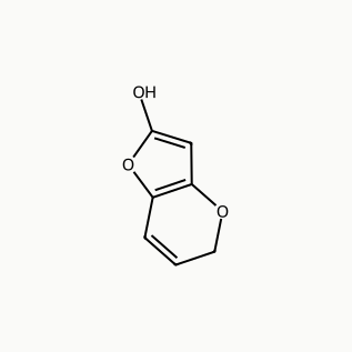 Oc1cc2c(o1)C=CCO2